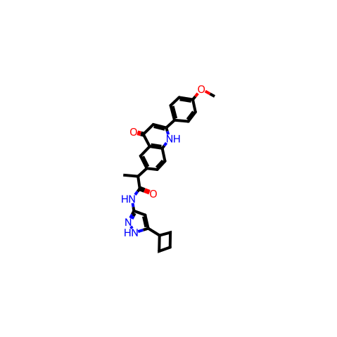 COc1ccc(-c2cc(=O)c3cc(C(C)C(=O)Nc4cc(C5CCC5)[nH]n4)ccc3[nH]2)cc1